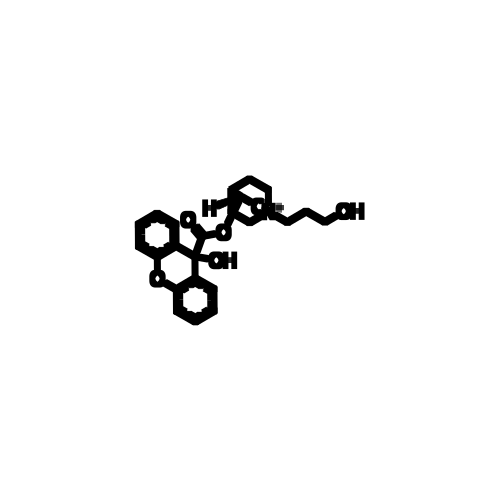 O=C(O[C@H]1C[N+]2(CCCO)CCC1CC2)C1(O)c2ccccc2Oc2ccccc21